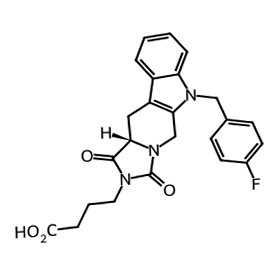 O=C(O)CCCN1C(=O)[C@@H]2Cc3c(n(Cc4ccc(F)cc4)c4ccccc34)CN2C1=O